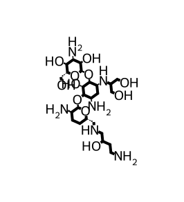 NCCC(O)CNC[C@@H]1CC[C@@H](N)[C@@H](OC2[C@@H](N)C[C@@H](NC(CO)CO)[C@H](O[C@H]3O[C@H](CO)[C@@H](O)[C@H](N)[C@H]3O)[C@H]2O)O1